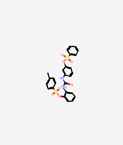 Cc1ccc(S(=O)(=O)Oc2ccccc2NC(=O)Nc2cccc(OS(=O)(=O)c3ccccc3)c2)cc1